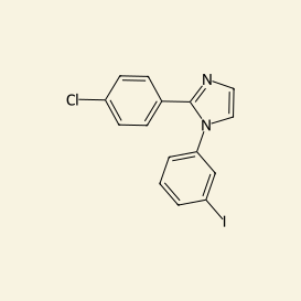 Clc1ccc(-c2nccn2-c2cccc(I)c2)cc1